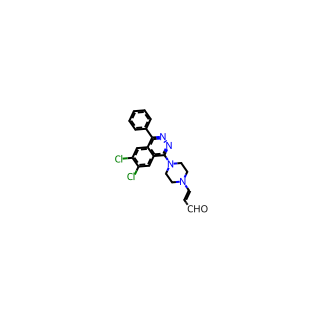 O=CC=CN1CCN(c2nnc(-c3ccccc3)c3cc(Cl)c(Cl)cc23)CC1